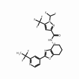 CC(F)(F)c1cc(-c2nc3c(o2)CCC[C@H]3NC(=O)c2cc(C(F)(F)F)n(C(F)F)n2)ccn1